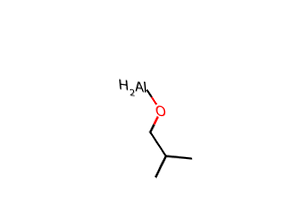 CC(C)C[O][AlH2]